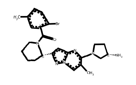 Cc1ccc(Br)c(C(=O)N2CCCC[C@H]2c2cc3nc(N4CC[C@H](N)C4)c(C)cn3n2)c1